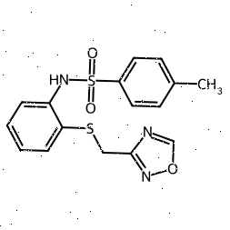 Cc1ccc(S(=O)(=O)Nc2ccccc2SCc2ncon2)cc1